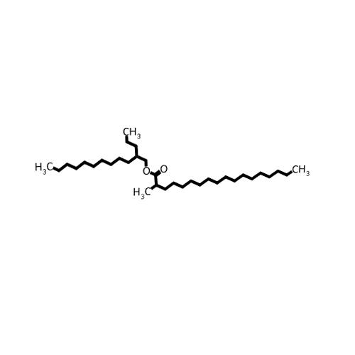 CCCCCCCCCCCCCCCCC(C)C(=O)OCC(CCC)CCCCCCCCCC